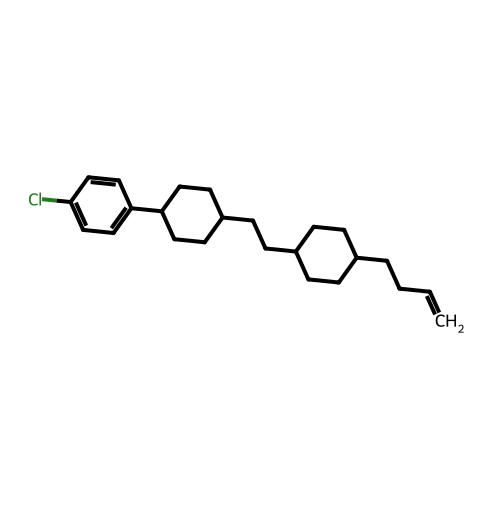 C=CCCC1CCC(CCC2CCC(c3ccc(Cl)cc3)CC2)CC1